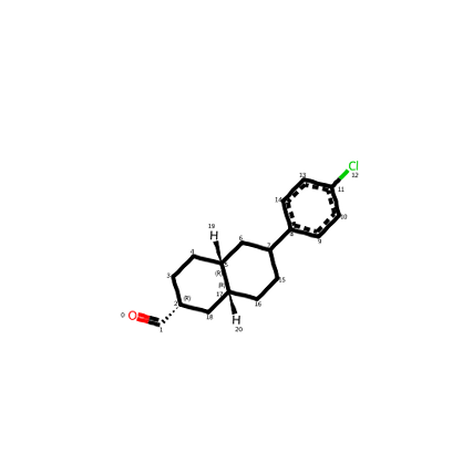 O=C[C@@H]1CC[C@@H]2CC(c3ccc(Cl)cc3)CC[C@@H]2C1